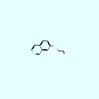 O=CCOc1ccc2ccncc2c1